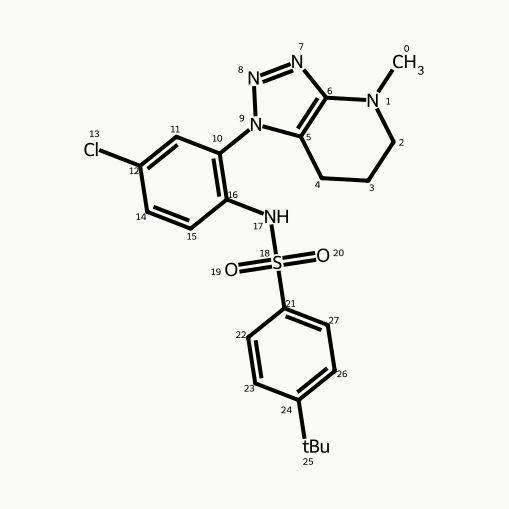 CN1CCCc2c1nnn2-c1cc(Cl)ccc1NS(=O)(=O)c1ccc(C(C)(C)C)cc1